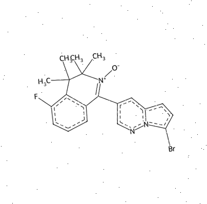 CC1(C)c2c(F)cccc2C(c2cnn3c(Br)ccc3c2)=[N+]([O-])C1(C)C